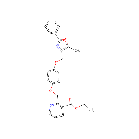 CCOC(=O)c1cccnc1COc1ccc(OCc2nc(-c3ccccc3)oc2C)cc1